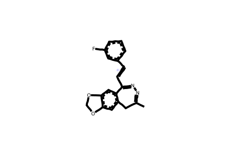 CC1=NN=C(/C=C/c2cccc(F)c2)c2cc3c(cc2C1)OCO3